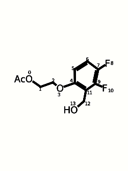 CC(=O)OCCOc1ccc(F)c(F)c1CO